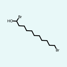 OC(Br)CCCCCCCCCCBr